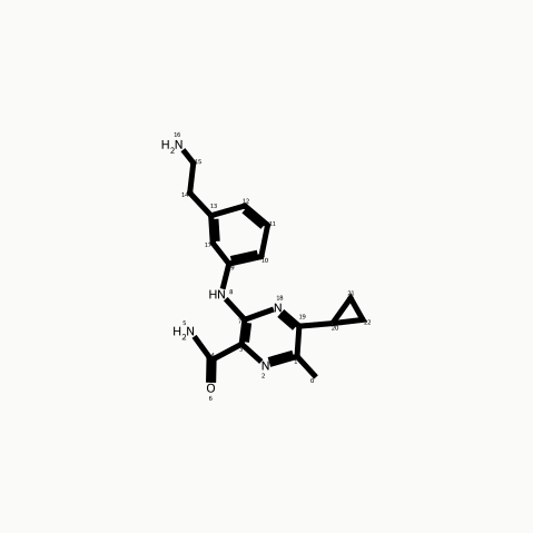 Cc1nc(C(N)=O)c(Nc2cccc(CCN)c2)nc1C1CC1